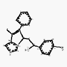 CC1=C(c2ccccc2)C(CC(O)c2ccc(Br)cc2)n2cncc21